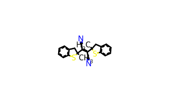 CC1(/C(C#N)=C(\C#N)C2(C)Cc3ccccc3S2)Cc2ccccc2S1